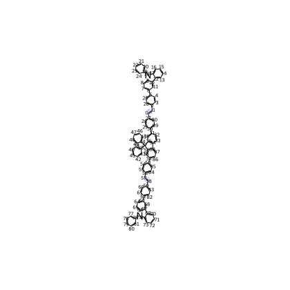 C(=C\c1ccc(-c2ccc3c(c2)c2ccccc2n3-c2ccccc2)cc1)/c1ccc(-c2ccc3c(c2)C(c2ccccc2)(c2ccccc2)c2cc(-c4ccc(/C=C/c5ccc(-c6ccc7c(c6)c6ccccc6n7-c6ccccc6)cc5)cc4)ccc2-3)cc1